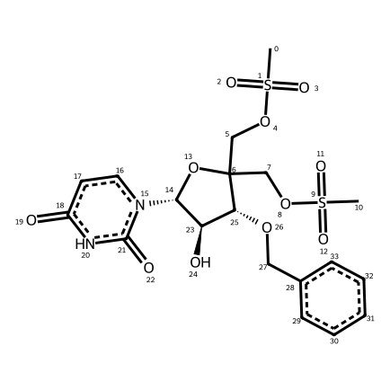 CS(=O)(=O)OCC1(COS(C)(=O)=O)O[C@@H](n2ccc(=O)[nH]c2=O)[C@H](O)[C@H]1OCc1ccccc1